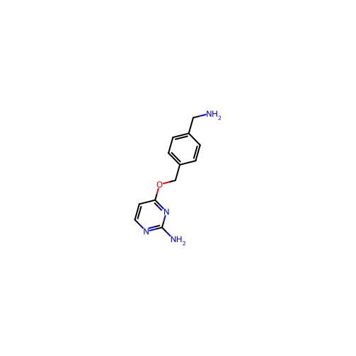 NCc1ccc(COc2ccnc(N)n2)cc1